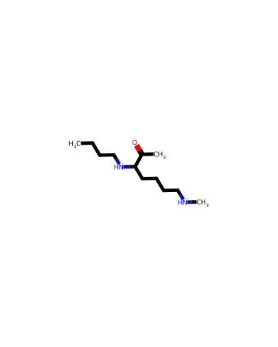 CCCCNC(CCCCNC)C(C)=O